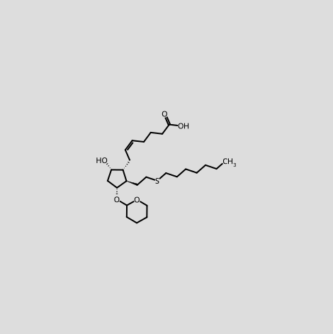 CCCCCCCSCC[C@@H]1[C@@H](C/C=C\CCCC(=O)O)[C@@H](O)C[C@H]1OC1CCCCO1